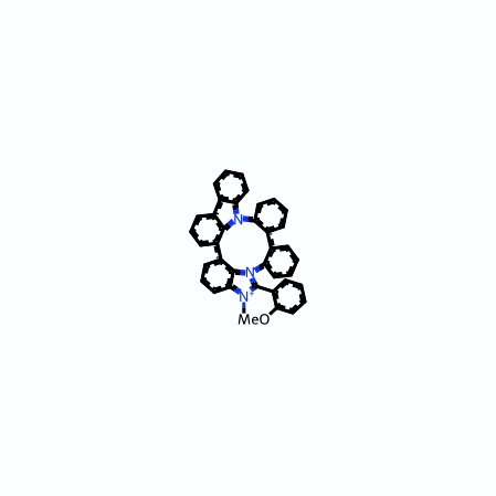 COc1ccccc1-c1n2c3ccccc3c3ccccc3n3c4ccccc4c4cccc(c5cccc(c52)[n+]1C)c43